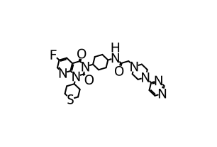 O=C(CN1CCN(c2ccncn2)CC1)NC1CCC(n2c(=O)c3cc(F)cnc3n(C3CCSCC3)c2=O)CC1